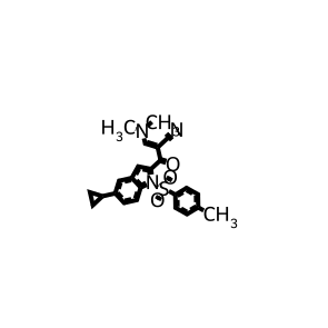 Cc1ccc(S(=O)(=O)n2c(C(=O)/C(C#N)=C/N(C)C)cc3cc(C4CC4)ccc32)cc1